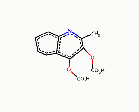 Cc1nc2ccccc2c(OC(=O)O)c1OC(=O)O